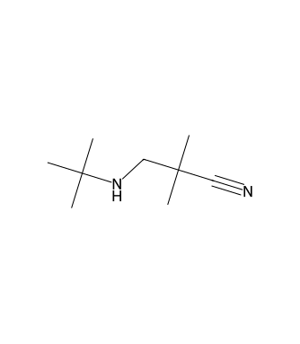 CC(C)(C#N)CNC(C)(C)C